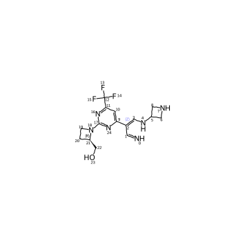 N=C/C(=C\NC1CNC1)c1cc(C(F)(F)F)nc(N2CC[C@@H]2CO)n1